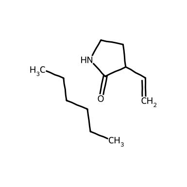 C=CC1CCNC1=O.CCCCCC